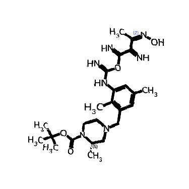 C/C(=N/O)C(=N)C(=N)OC(=N)Nc1cc(C)cc(CN2CCN(C(=O)OC(C)(C)C)[C@@H](C)C2)c1C